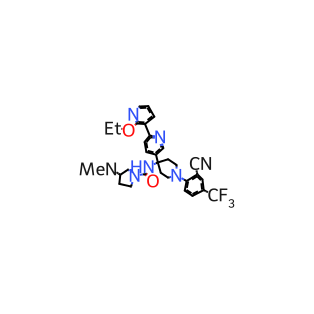 CCOc1ncccc1-c1ccc(C2(NC(=O)N3CCC(NC)C3)CCN(c3ccc(C(F)(F)F)cc3C#N)CC2)cn1